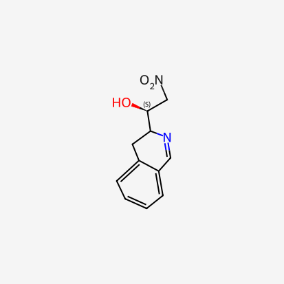 O=[N+]([O-])C[C@H](O)C1Cc2ccccc2C=N1